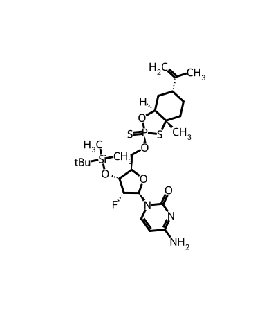 C=C(C)[C@@H]1CC[C@]2(C)S[P@@](=S)(OC[C@H]3O[C@@H](n4ccc(N)nc4=O)[C@H](F)[C@@H]3O[Si](C)(C)C(C)(C)C)O[C@H]2C1